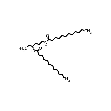 [CH2]CC(CCCNC(=O)CCCCCCCCCCC)NC(=O)CCCCCCCCCCC